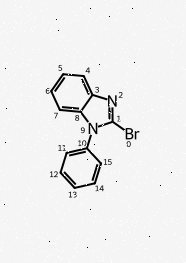 Brc1nc2ccccc2n1-c1ccccc1